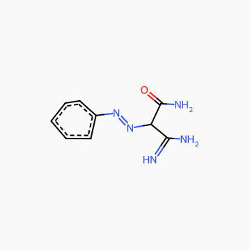 N=C(N)C(N=Nc1ccccc1)C(N)=O